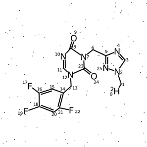 [2H]Cn1cnc(Cn2c(=O)ncn(Cc3cc(F)c(F)cc3F)c2=O)n1